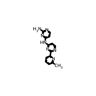 Cc1cccc(-c2nccc(Nc3ccnc(N)n3)n2)n1